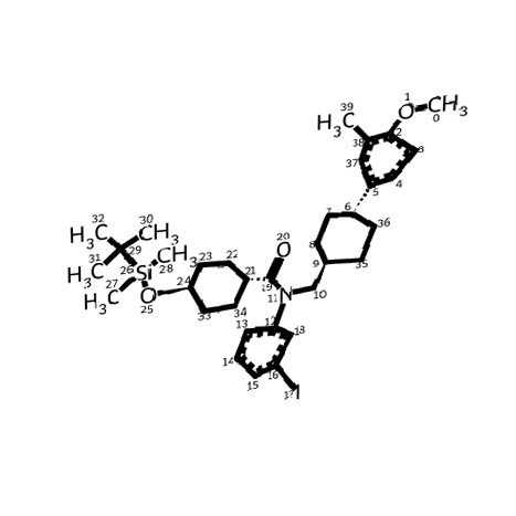 COc1ccc([C@H]2CC[C@H](CN(c3cccc(I)c3)C(=O)[C@H]3CC[C@H](O[Si](C)(C)C(C)(C)C)CC3)CC2)cc1C